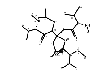 CN[C@H](C(=O)CC(CC(C)O)(OC(=O)[C@@H](NC)C(C)C)[C](CC(C)O)C(=O)[C@@H](NC)C(C)C)C(C)C